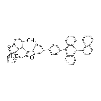 C=Cc1oc2cc(-c3ccc(-c4c5ccccc5c(-c5cccc6ccccc56)c5ccccc45)cc3)ccc2c1-c1c(C)ccc2sc3ccccc3c12